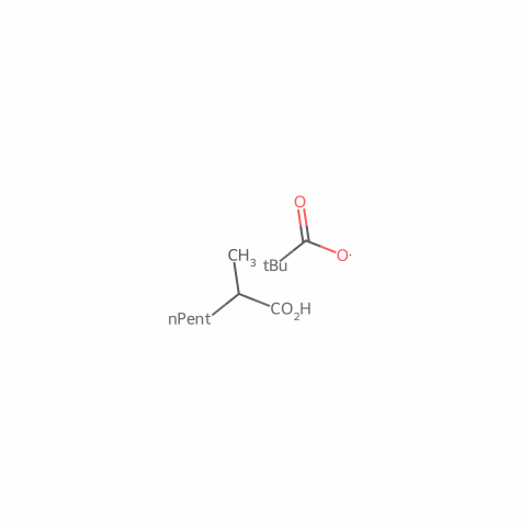 CC(C)(C)C([O])=O.CCCCCC(C)C(=O)O